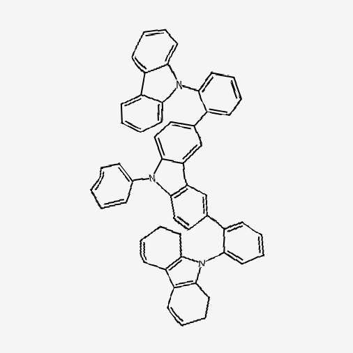 C1=Cc2c3c(n(-c4ccccc4-c4ccc5c(c4)c4cc(-c6ccccc6-n6c7ccccc7c7ccccc76)ccc4n5-c4ccccc4)c2CC1)CCC=C3